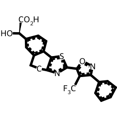 O=C(O)[C@H](O)c1ccc2c(c1)CCc1nc(-c3onc(-c4ccccc4)c3C(F)(F)F)sc1-2